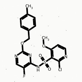 COc1ccnc(Cl)c1S(=O)(=O)Nc1nc(OCc2ccc(C)cc2)ncc1F